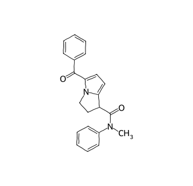 CN(C(=O)C1CCn2c(C(=O)c3ccccc3)ccc21)c1ccccc1